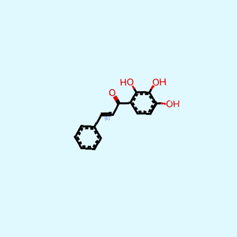 O=C(/C=C/c1ccccc1)c1ccc(O)c(O)c1O